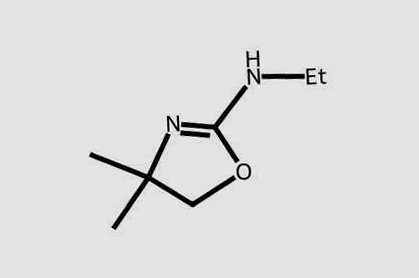 CCNC1=NC(C)(C)CO1